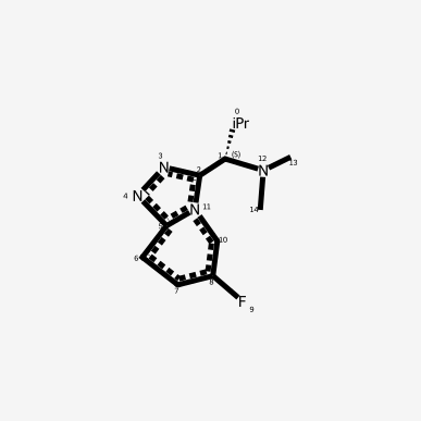 CC(C)[C@@H](c1nnc2ccc(F)cn12)N(C)C